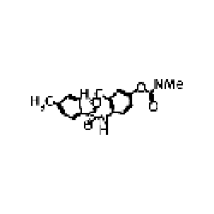 CNC(=O)Oc1ccc(NS(=O)(=O)c2ccc(C)cc2)c(C)c1